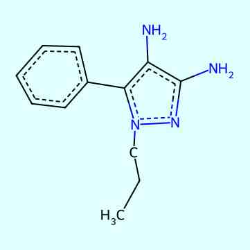 CCCn1nc(N)c(N)c1-c1ccccc1